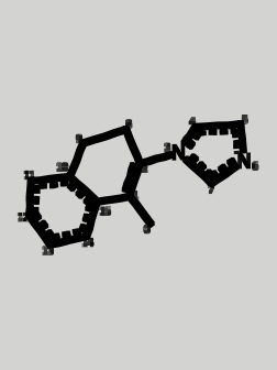 CC1=C(n2ccnc2)CCc2ccccc21